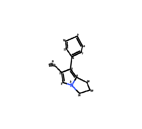 CC(C)(C)c1cn2c(c1-c1ccccc1)CCC2